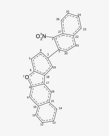 O=[N+]([O-])c1c(-c2ccc3oc4cc5ccccc5cc4c3c2)ccc2ccccc12